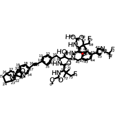 COC(=O)NC(C(=O)NC(Cc1ccc(C#Cc2ccc(N3CC4CCC(C3)N4C3COC3)nc2)cc1)C(O)CN(Cc1ccc(-c2cnn(C(F)F)c2)cc1F)NC(=O)C(NC(=O)O)C(C)(C)CF)C(C)(C)CF